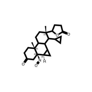 C[C@]1(C2CCC(=O)O2)CCC2C(C3C[C@H]3[C@]3(N=O)CC(=O)CC[C@]23C)C1C1CC1